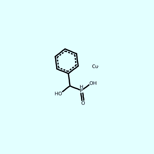 O=[PH](O)C(O)c1ccccc1.[Cu]